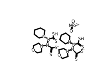 S=C([S-])N(N1CCOCC1)N(C(=S)S)N1CCCCC1.S=C([S-])N(N1CCOCC1)N(C(=S)S)N1CCCCC1.[O]=[Mo+2]=[O]